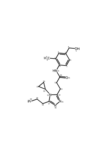 Cc1cc(CO)ccc1NC(=O)CCc1nnc(CCC(C)C)n1C1CC1